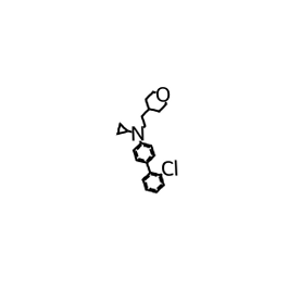 Clc1ccccc1-c1ccc(N(CCC2CCOCC2)C2CC2)cc1